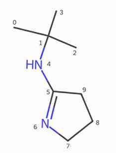 CC(C)(C)NC1=NCCC1